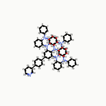 c1ccc(N2c3ccccc3N(c3cc(-c4ccc(-c5cccnc5)cc4)cc(N4c5ccccc5N(c5ccccc5)c5ccccc54)c3N3c4ccccc4N(c4ccccc4)c4ccccc43)c3ccccc32)cc1